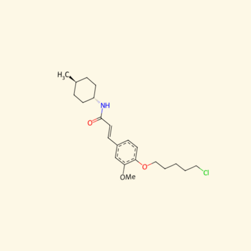 COc1cc(C=CC(=O)N[C@H]2CC[C@H](C)CC2)ccc1OCCCCCCl